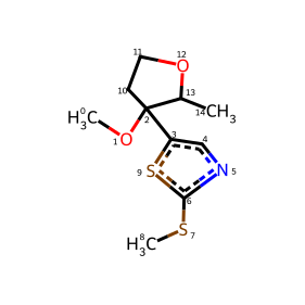 COC1(c2cnc(SC)s2)CCOC1C